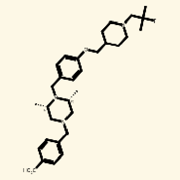 C[C@@H]1CN(Cc2ccc(C(=O)O)cc2)C[C@H](C)N1Cc1ccc(OCC2CCN(CC(C)(C)F)CC2)cc1